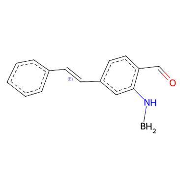 BNc1cc(/C=C/c2ccccc2)ccc1C=O